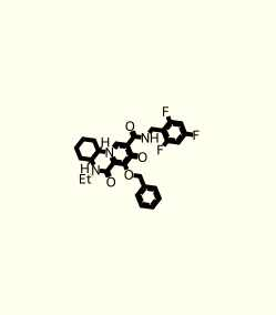 CCN1C(=O)c2c(OCc3ccccc3)c(=O)c(C(=O)NCc3c(F)cc(F)cc3F)cn2[C@@H]2CCCC[C@@H]21